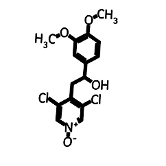 COc1ccc(C(O)Cc2c(Cl)c[n+]([O-])cc2Cl)cc1OC